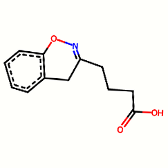 O=C(O)CCCC1=NOc2ccccc2C1